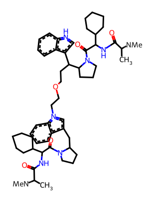 CNC(C)C(=O)NC(C(=O)N1CCCC1Cc1cn(CCOCCC(c2c[nH]c3ccccc23)C2CCCN2C(=O)C(NC(=O)C(C)NC)C2CCCCC2)c2ccccc12)C1CCCCC1